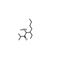 CCCCC(CC)C(NC)C(=O)C(C)C